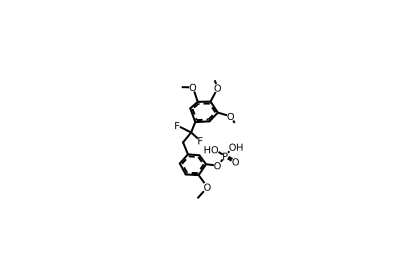 COc1ccc(CC(F)(F)c2cc(OC)c(OC)c(OC)c2)cc1OP(=O)(O)O